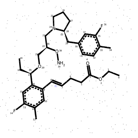 CCOC(=O)CC/C=C/c1cc(C)c(F)cc1[C@@H](CC)OC[C@@H](CN1CCC[C@H]1Cc1ccc(C)c(F)c1)ON